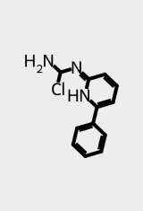 NC(Cl)/N=c1/cccc(-c2ccccc2)[nH]1